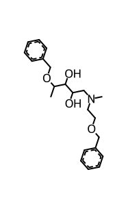 CC(OCc1ccccc1)C(O)C(O)CN(C)CCOCc1ccccc1